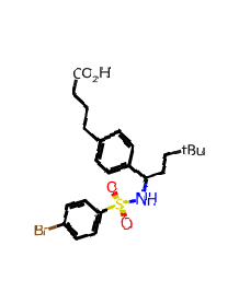 CC(C)(C)CCC(NS(=O)(=O)c1ccc(Br)cc1)c1ccc(CCCC(=O)O)cc1